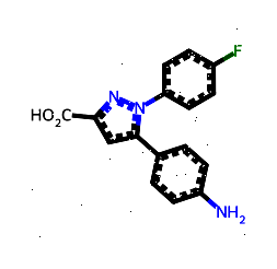 Nc1ccc(-c2cc(C(=O)O)nn2-c2ccc(F)cc2)cc1